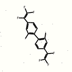 Cc1cc(C(F)=C(F)F)ccc1-c1ccc(C(F)=C(F)F)cc1C